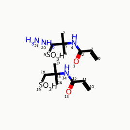 C=CC(=O)NC(C)(C)CS(=O)(=O)O.C=CC(=O)NC(C)(C)CS(=O)(=O)O.N.N